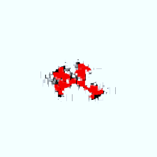 O=C(O)CN1CCN(CC(=O)O)CC(CCC(=O)CCCCN(CCCCN(CCCCC(=O)CCC2(N(CC(=O)O)CC(=O)O)CN(CC(=O)O)CCN(CC(=O)O)C2)CCCNC(=O)CCC2(N(CC(=O)O)CC(=O)O)CN(CC(=O)O)CCN(CC(=O)O)C2)CCCNC(=O)CCC2(N(CC(=O)O)CC(=O)O)CN(CC(=O)O)CCN(CC(=O)O)C2)(N(CC(=O)O)CC(=O)O)C1